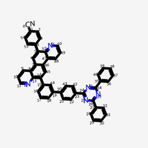 N#Cc1ccc(-c2cc3c4cccnc4c(-c4cccc(-c5ccc(-c6nc(-c7ccccc7)nc(-c7ccccc7)n6)cc5)c4)cc3c3cccnc23)cc1